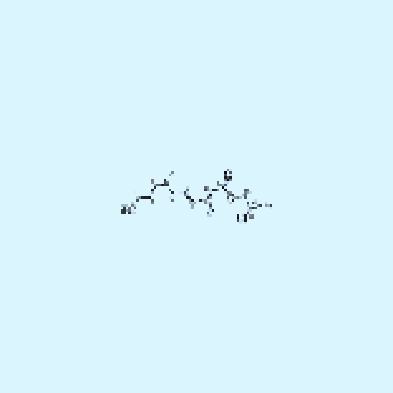 CCC(C)CCCC(C)CC=CC(C)=CC(=O)OCC(C)Cl